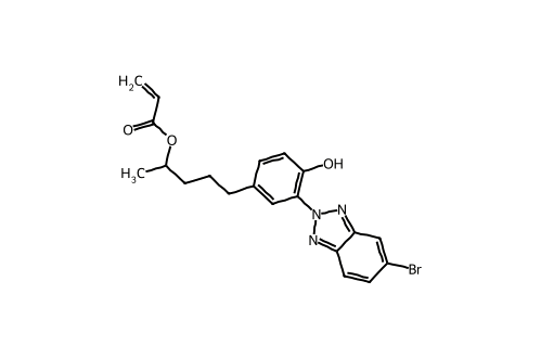 C=CC(=O)OC(C)CCCc1ccc(O)c(-n2nc3ccc(Br)cc3n2)c1